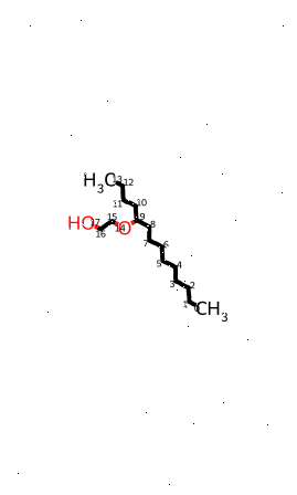 CCCCCCCCCC(CCCC)OCCO